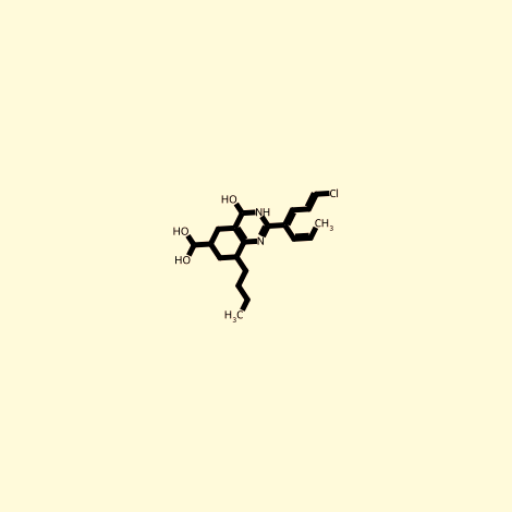 C\C=C/C(=C\C=C\Cl)C1=NC2=C(CC(C(O)O)CC2CCCC)C(O)N1